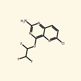 Nc1nc(OC(F)C(F)F)c2nc(Cl)ccc2n1